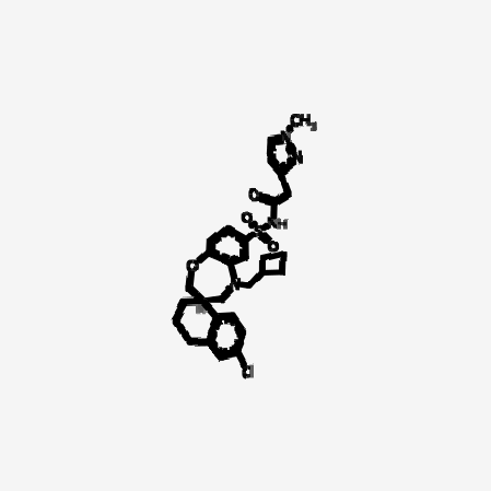 Cn1ccc(CC(=O)NS(=O)(=O)c2ccc3c(c2)N(CC2CCC2)C[C@@]2(CCCc4cc(Cl)ccc42)CO3)n1